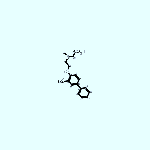 CN(CCOc1ccc(-c2ccccc2)cc1C(C)(C)C)CC(=O)O